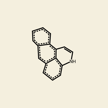 C1=Cc2c3ccccc3cc3cccc(c23)N1